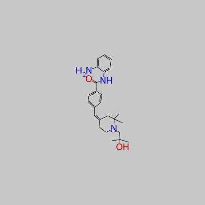 CC(C)(O)CN1CCC(=Cc2ccc(C(=O)Nc3ccccc3N)cc2)CC1(C)C